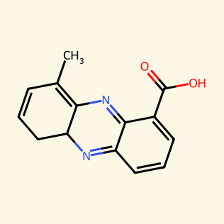 CC1=C2N=c3c(C(=O)O)cccc3=NC2CC=C1